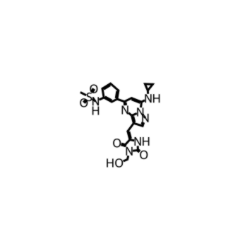 CS(=O)(=O)Nc1cccc(-c2cc(NC3CC3)n3ncc(C=C4NC(=O)N(CO)C4=O)c3n2)c1